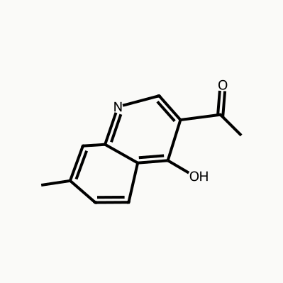 CC(=O)c1cnc2cc(C)ccc2c1O